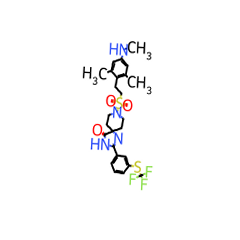 CNc1cc(C)c(CCS(=O)(=O)N2CCC3(CC2)N=C(c2cccc(SC(F)(F)F)c2)NC3=O)c(C)c1